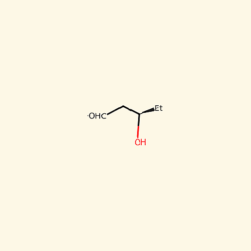 CC[C@@H](O)C[C]=O